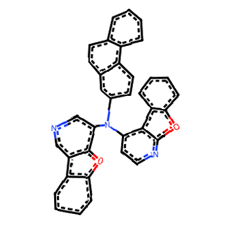 c1ccc2c(c1)ccc1cc(N(c3cncc4c3oc3ccccc34)c3ccnc4oc5ccccc5c34)ccc12